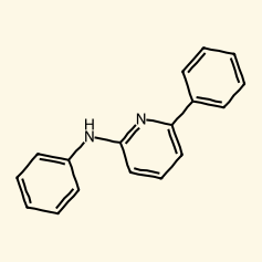 c1ccc(Nc2cccc(-c3ccccc3)n2)cc1